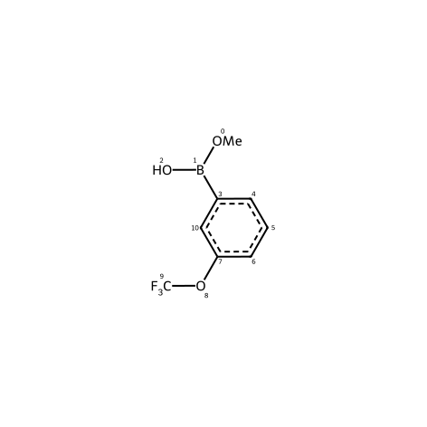 COB(O)c1cccc(OC(F)(F)F)c1